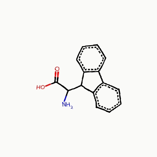 NC(C(=O)O)C1c2ccccc2-c2ccccc21